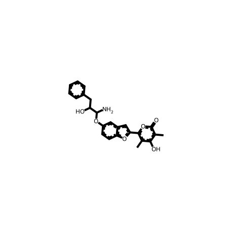 Cc1c(-c2cc3cc(OC(N)C(O)Cc4ccccc4)ccc3o2)oc(=O)c(C)c1O